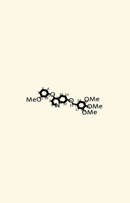 COc1cccc(Oc2ccnc3cc(OCc4cc(OC)c(OC)c(OC)c4)ccc23)c1